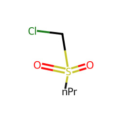 CCCS(=O)(=O)CCl